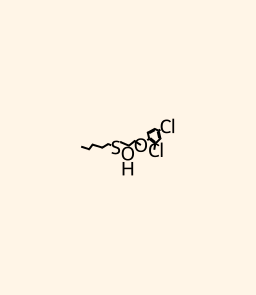 CCCCCSCC(O)COc1ccc(Cl)cc1Cl